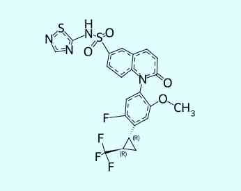 COc1cc([C@@H]2C[C@H]2C(F)(F)F)c(F)cc1-n1c(=O)ccc2cc(S(=O)(=O)Nc3ncns3)ccc21